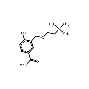 COC(=O)c1ccc(O)c(COCC[Si](C)(C)C)c1